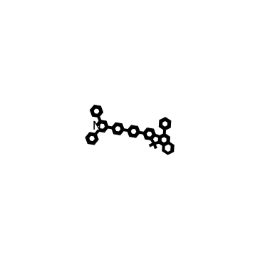 CC1(C)c2cc(-c3ccc(-c4ccc(-c5cc(-c6ccccc6)nc(-c6ccccc6)c5)cc4)cc3)ccc2-c2c(-c3ccccc3)cc3c(c21)CCC=C3